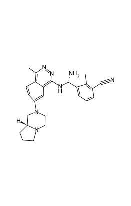 Cc1c(C#N)cccc1[C@@H](N)Nc1nnc(C)c2ccc(N3CCN4CCC[C@@H]4C3)cc12